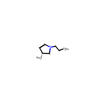 COCCN1CC[C@@H](OC)C1